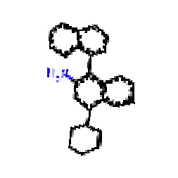 Nc1cc(C2CCCCC2)c2ccccc2c1-c1cccc2ccccc12